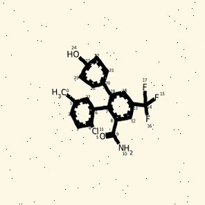 Cc1ccc(Cl)c(-c2c(C(N)=O)cc(C(F)(F)F)cc2-c2ccc(O)cc2)c1